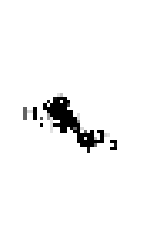 NS(=O)(=O)c1ccccc1-c1ccc2[nH]c(CCc3ccc(F)c(C(F)(F)F)c3)nc2c1